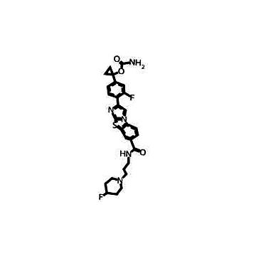 NC(=O)OC1(c2ccc(-c3cn4c(n3)sc3cc(C(=O)NCCCN5CCC(F)CC5)ccc34)c(F)c2)CC1